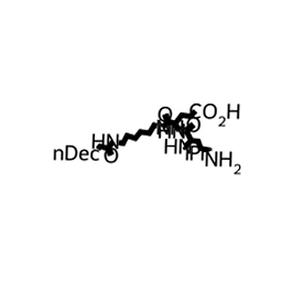 CCCCCCCCCCCC(=O)NCCCCCCNC(=O)C(CCC(=O)O)NC(=O)C(CCCN)NC(C)C